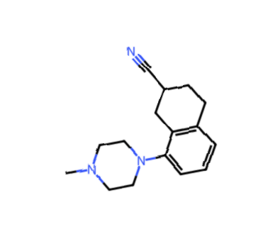 CN1CCN(c2cccc3c2CC(C#N)CC3)CC1